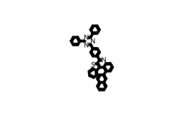 c1ccc(-c2nc(-c3ccccc3)nc(-c3ccc(-c4nc5cccc(-c6ccc7ccccc7c6)c5c5c4sc4ccccc45)cc3)n2)cc1